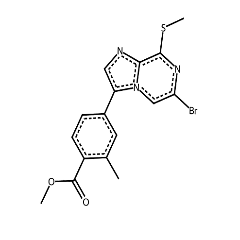 COC(=O)c1ccc(-c2cnc3c(SC)nc(Br)cn23)cc1C